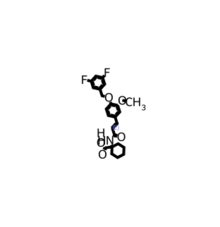 COc1cc(/C=C/C(=O)NC2(C(=O)O)CCCCC2)ccc1OCc1cc(F)cc(F)c1